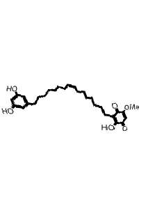 COC1=CC(=O)C(O)=C(CCCCCCC/C=C\CCCCCCCc2cc(O)cc(O)c2)C1=O